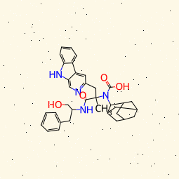 CC(Cc1cc2c(cn1)[nH]c1ccccc12)(C(=O)NC(CO)Cc1ccccc1)N(C(=O)O)C1C2CC3CC(C2)CC1C3